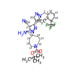 Cc1c(Cn2cc(-c3nn(C4CCCN(C(=O)OC(C)(C)C)CCC4)c(N)c3C#N)cn2)cccc1C(F)(F)F